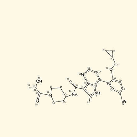 Cc1[nH]c2c(-c3cc(C(C)C)ccc3OCC3CC3)ncnc2c1C(=O)NC1CCN(C(=O)[C@H](C)O)CC1